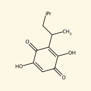 CC(C)CC(C)C1=C(O)C(=O)C=C(O)C1=O